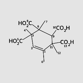 CC1=CC(C)(C(=O)O)C(C)(C(=O)O)C(C(=O)O)C1(C)C(=O)O